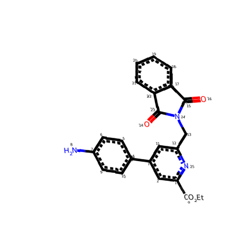 CCOC(=O)c1cc(-c2ccc(N)cc2)cc(CN2C(=O)c3ccccc3C2=O)n1